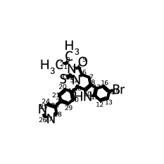 CC(C)N1C(=O)C2Cc3c([nH]c4ccc(Br)cc34)C(c3ccc(-c4cncnc4)cc3)N2C1=S